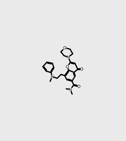 CN(C)C(=O)c1cc(CCN(C)c2ccccc2)c2oc(N3CCOCC3)cc(=O)c2c1